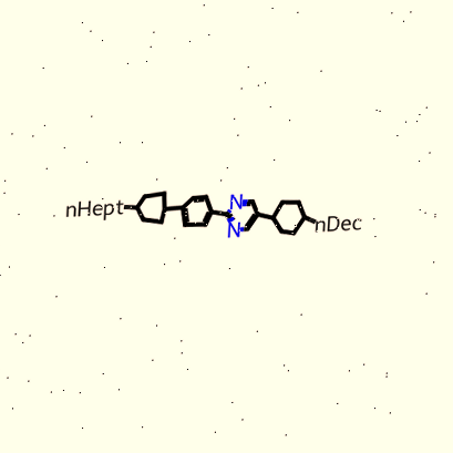 CCCCCCCCCCC1CCC(c2cnc(-c3ccc(C4CCC(CCCCCCC)CC4)cc3)nc2)CC1